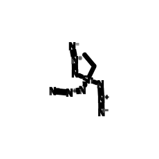 C[CH2][Sn]([N]=[N+]=[N-])([N]=[N+]=[N-])[N]=[N+]=[N-]